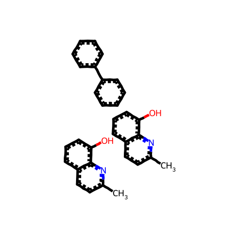 Cc1ccc2cccc(O)c2n1.Cc1ccc2cccc(O)c2n1.c1ccc(-c2ccccc2)cc1